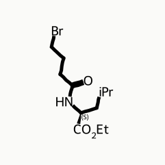 CCOC(=O)[C@H](CC(C)C)NC(=O)CCCBr